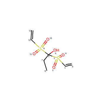 C=CS(=O)(=O)C(O)(CC)S(=O)(=O)C=C